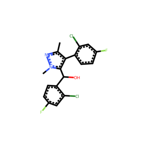 Cc1nn(C)c(C(O)c2ccc(F)cc2Cl)c1-c1ccc(F)cc1Cl